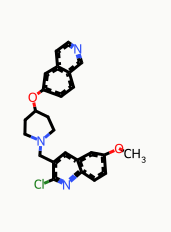 COc1ccc2nc(Cl)c(CN3CCC(Oc4ccc5cnccc5c4)CC3)cc2c1